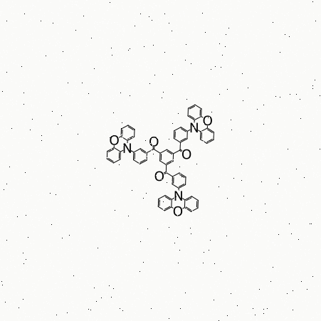 O=C(c1cc(C(=O)c2cccc(N3c4ccccc4Oc4ccccc43)c2)cc(C(=O)c2cccc(N3c4ccccc4Oc4ccccc43)c2)c1)c1cccc(N2c3ccccc3Oc3ccccc32)c1